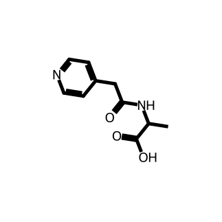 CC(NC(=O)Cc1ccncc1)C(=O)O